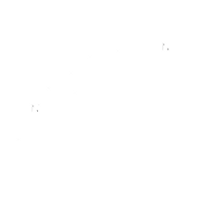 CCN(CC)CCCCOc1ccc2c(ccn2-c2ccc(F)cc2)c1